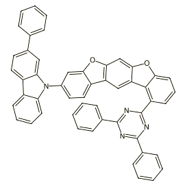 c1ccc(-c2ccc3c4ccccc4n(-c4ccc5c(c4)oc4cc6oc7cccc(-c8nc(-c9ccccc9)nc(-c9ccccc9)n8)c7c6cc45)c3c2)cc1